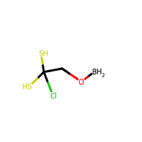 BOCC(S)(S)Cl